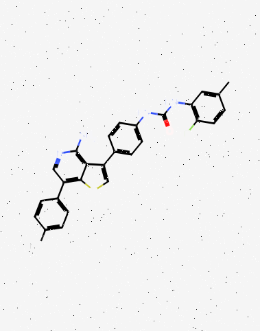 Cc1ccc(F)c(NC(=O)Nc2ccc(-c3csc4c(-c5ccc(C#N)cc5)cnc(N)c34)cc2)c1